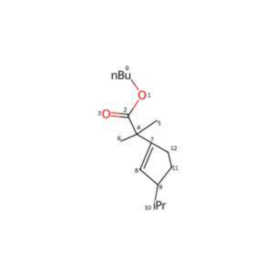 CCCCOC(=O)C(C)(C)C1=CC(C(C)C)CC1